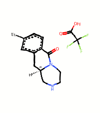 CCc1ccc2c(c1)C[C@@H]1CNCCN1C2=O.O=C(O)C(F)(F)F